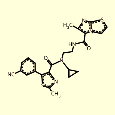 Cc1nc(C(=O)N(CCNC(=O)c2c(C)nc3sccn23)C2CC2)c(-c2cccc(C#N)c2)s1